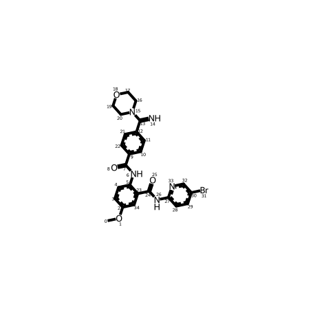 COc1ccc(NC(=O)c2ccc(C(=N)N3CCOCC3)cc2)c(C(=O)Nc2ccc(Br)cn2)c1